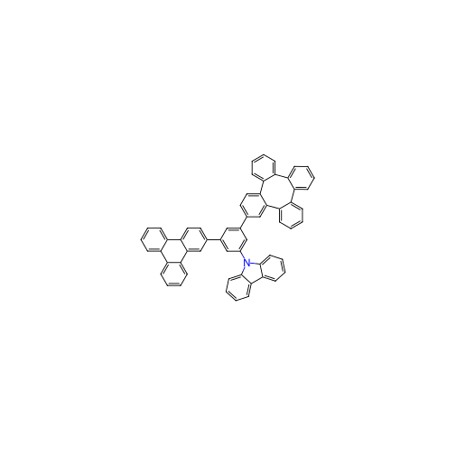 c1ccc2c(c1)-c1ccccc1-c1ccc(-c3cc(-c4ccc5c6ccccc6c6ccccc6c5c4)cc(-n4c5ccccc5c5ccccc54)c3)cc1-c1ccccc1-2